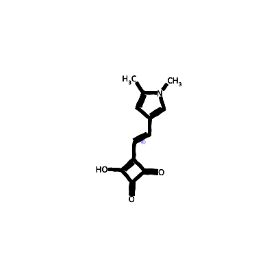 Cc1cc(/C=C/c2c(O)c(=O)c2=O)cn1C